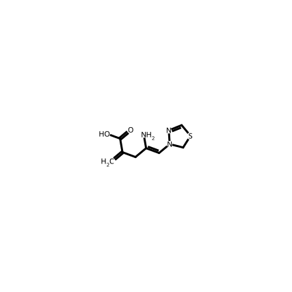 C=C(CC(N)=CN1CSC=N1)C(=O)O